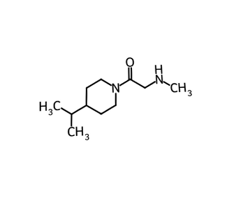 CNCC(=O)N1CCC(C(C)C)CC1